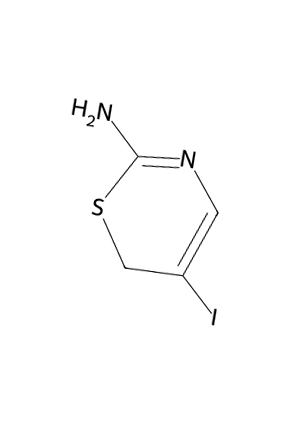 NC1=NC=C(I)CS1